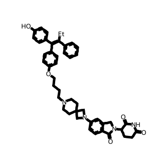 CCC(=C(c1ccc(O)cc1)c1ccc(OCCCCN2CCC3(CC2)CN(c2ccc4c(c2)CN(C2CCC(=O)NC2=O)C4=O)C3)cc1)c1ccccc1